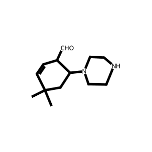 CC1(C)C=CC(C=O)C(N2CCNCC2)C1